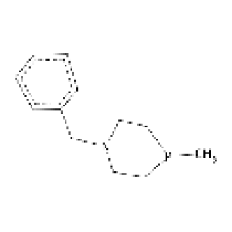 CP1CCN(Cc2ccccc2)CC1